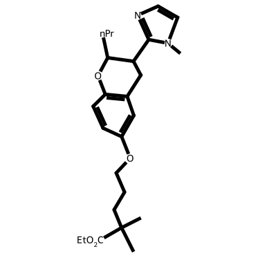 CCCC1Oc2ccc(OCCCC(C)(C)C(=O)OCC)cc2CC1c1nccn1C